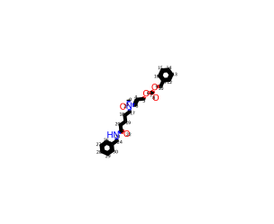 C[N+]([O-])(/C=C/COC(=O)OCc1ccccc1)CCCCC(=O)NCc1ccccc1